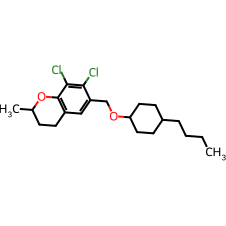 CCCCC1CCC(OCc2cc3c(c(Cl)c2Cl)OC(C)CC3)CC1